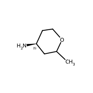 CC1C[C@@H](N)CCO1